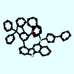 c1ccc(-c2ccc(N(c3ccccc3)c3cc4c(oc5cccc(-c6cc(-c7cccc8ccccc78)c7c(c6)C(c6ccccc6)(c6ccccc6)c6ccccc6-7)c54)c4ccccc34)cc2)cc1